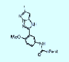 CCCCCC(=O)Nc1ccc(OC)c(-c2nn3nc(C)cc3[nH]2)c1